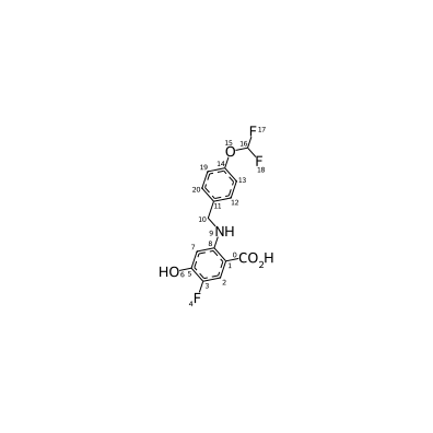 O=C(O)c1cc(F)c(O)cc1NCc1ccc(OC(F)F)cc1